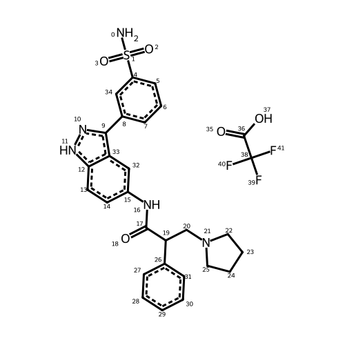 NS(=O)(=O)c1cccc(-c2n[nH]c3ccc(NC(=O)C(CN4CCCC4)c4ccccc4)cc23)c1.O=C(O)C(F)(F)F